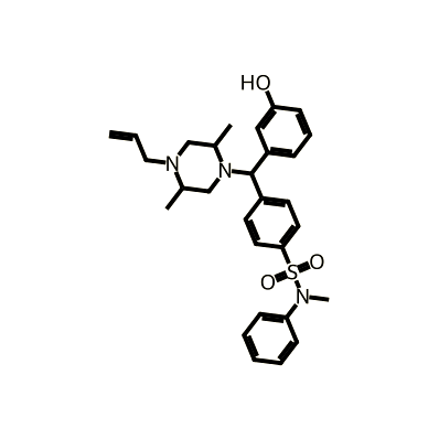 C=CCN1CC(C)N(C(c2ccc(S(=O)(=O)N(C)c3ccccc3)cc2)c2cccc(O)c2)CC1C